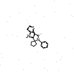 C[C@H]1c2c(n(C)c3ccsc23)C2(CCCC2)N1c1ccccc1